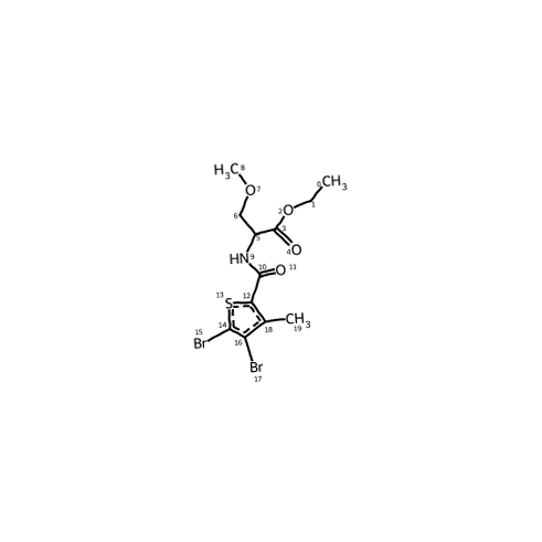 CCOC(=O)C(COC)NC(=O)c1sc(Br)c(Br)c1C